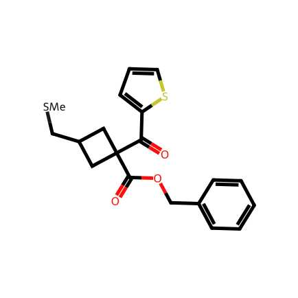 CSCC1CC(C(=O)OCc2ccccc2)(C(=O)c2cccs2)C1